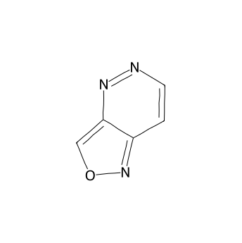 c1cc2nocc2nn1